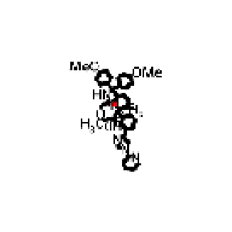 COc1ccc(C(NC2=N[C@](C)(c3cc(-c4cn(-c5ccccn5)cn4)ccc3F)C(F)(F)C(C)(C)OC2)(c2ccccc2)c2ccc(OC)cc2)cc1